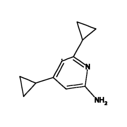 Nc1cc(C2CC2)[c]c(C2CC2)n1